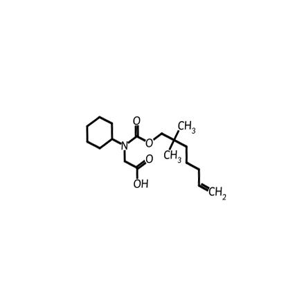 C=CCCCC(C)(C)COC(=O)N(CC(=O)O)C1CCCCC1